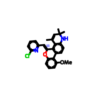 COc1cccc2c1-c1ccc3c(c1/C(=C/c1cccc(Cl)n1)O2)C(C)=CC(C)(C)N3